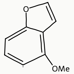 COc1[c]ccc2occc12